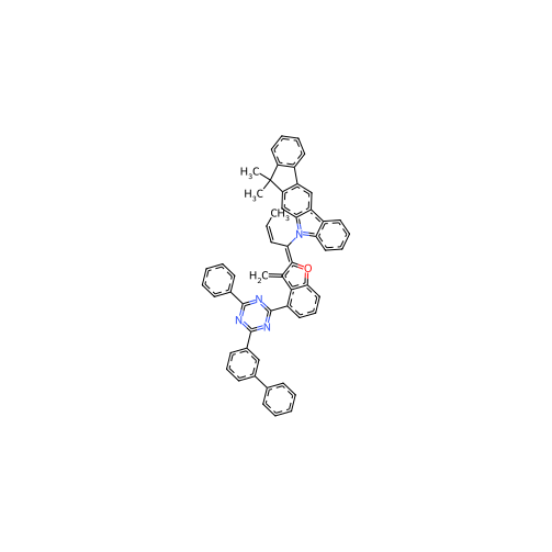 C=c1/c(=C(\C=C/C)n2c3ccccc3c3cc4c(cc32)C(C)(C)c2ccccc2-4)oc2cccc(-c3nc(-c4ccccc4)nc(-c4cccc(-c5ccccc5)c4)n3)c12